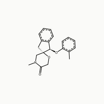 Cc1ccccc1O[C@@H]1c2ccccc2C[C@]12CN(C)C(=O)CO2